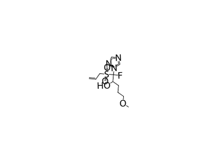 C=CCS(=O)(=O)C(F)(C(O)CCCOC)n1cncn1